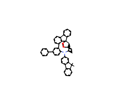 CC1(C)c2ccccc2-c2ccc(N3c4ccc5c(c4)C4(c6ccccc6-5)c5ccccc5-c5cccc(c54)-c4cc(-c5ccccc5)ccc43)cc21